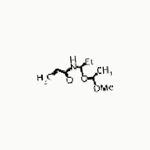 C=CC(=O)NC(CC)OC(C)OC